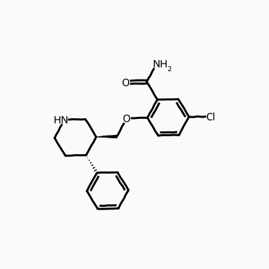 NC(=O)c1cc(Cl)ccc1OC[C@@H]1CNCC[C@H]1c1ccccc1